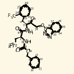 CC(C)C[C@H](NC(=O)OCc1ccccc1)C(=O)N[C@@H](Cc1ccccc1C(F)(F)F)C(=O)COn1nnc2ccccc21